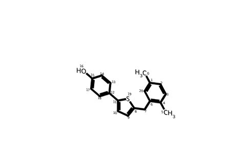 Cc1ccc(C)c(Cc2ccc(-c3ccc(O)cc3)s2)c1